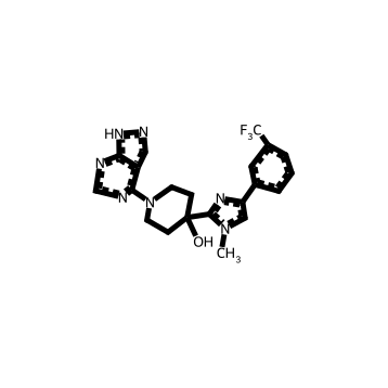 Cn1cc(-c2cccc(C(F)(F)F)c2)nc1C1(O)CCN(c2ncnc3[nH]ncc23)CC1